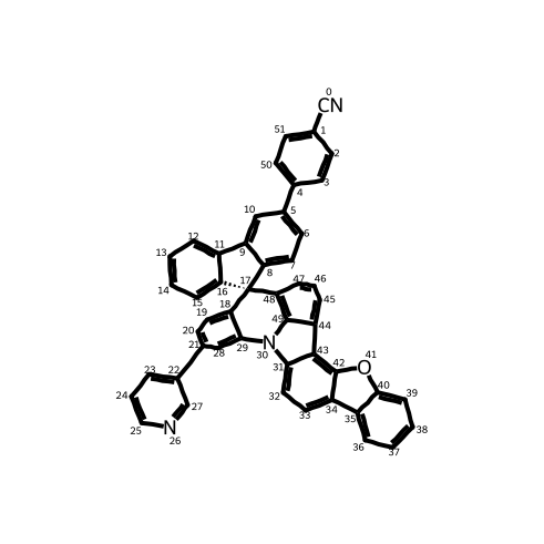 N#Cc1ccc(-c2ccc3c(c2)-c2ccccc2[C@]32c3ccc(-c4cccnc4)cc3-n3c4ccc5c6ccccc6oc5c4c4cccc2c43)cc1